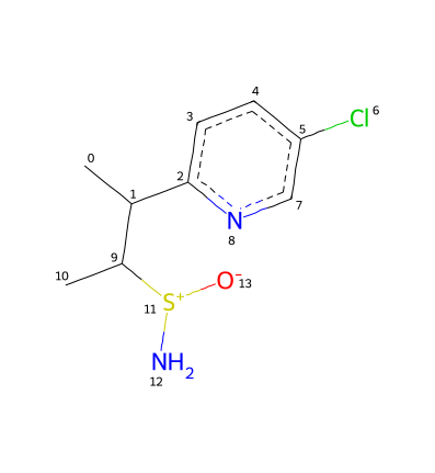 CC(c1ccc(Cl)cn1)C(C)[S+](N)[O-]